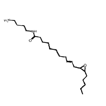 CCCCCC1OC1CC=CCCCCCCCC(=O)NCCCCN